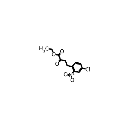 CCOC(=O)C(=O)CCc1ccc(Cl)cc1[N+](=O)[O-]